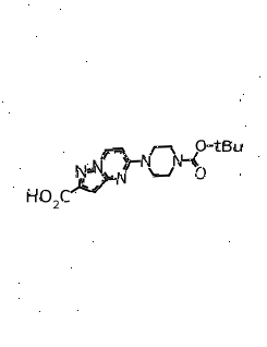 CC(C)(C)OC(=O)N1CCN(c2ccn3nc(C(=O)O)cc3n2)CC1